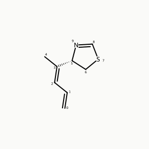 C=C/C=C(/C)[C@H]1CSC=N1